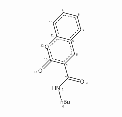 CCCCNC(=O)c1cc2ccccc2oc1=O